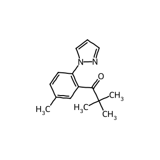 Cc1ccc(-n2cccn2)c(C(=O)C(C)(C)C)c1